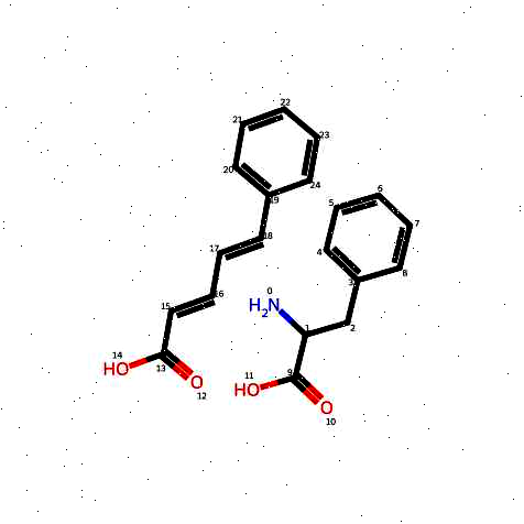 NC(Cc1ccccc1)C(=O)O.O=C(O)C=CC=Cc1ccccc1